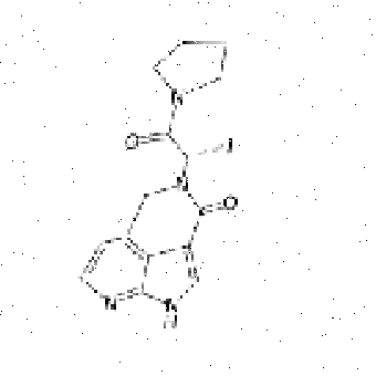 O=C([C@H](I)N1Cc2ccnc3[nH]cc(c23)C1=O)N1CCCC1